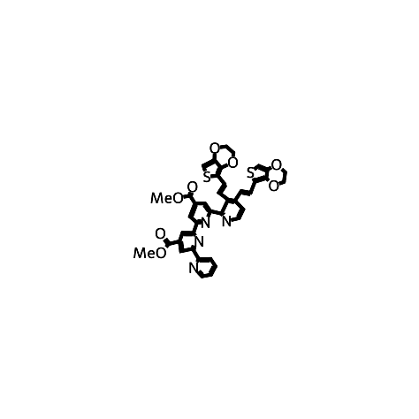 COC(=O)c1cc(-c2ccccn2)nc(-c2cc(C(=O)OC)cc(-c3nccc(C=Cc4scc5c4OCCO5)c3C=Cc3scc4c3OCCO4)n2)c1